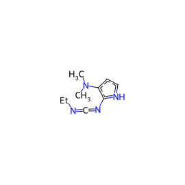 CCN=C=Nc1[nH]ccc1N(C)C